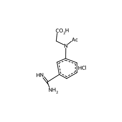 CC(=O)N(CC(=O)O)c1cccc(C(=N)N)c1.Cl